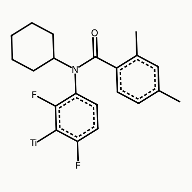 Cc1ccc(C(=O)N(c2ccc(F)[c]([Ti])c2F)C2CCCCC2)c(C)c1